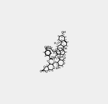 COc1ccc(C(=O)OC2C(OC3C(O)COC(O[C@H]4C[C@H]5[C@@H]6CC=C7C[C@@H](O)CC[C@]7(C)C6CC[C@]5(C)[C@@]4(O)[C@H](C)C(=O)CCC(C)C)C3C)OCC3OC(=O)OC32)cc1